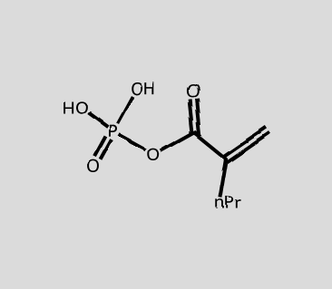 C=C(CCC)C(=O)OP(=O)(O)O